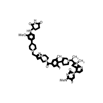 CNc1nc(=O)n(-c2ccnc3c2cc([C@H](C)N2CC=C(c4c(C)cc(C(=O)N5CCn6nc(CN7CCC(c8ccc(NC9CCC(=O)NC9=O)c(OC)c8)CC7)cc6C5)cc4F)CC2)n3C)cc1F